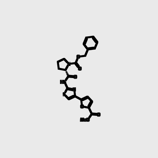 COC(=O)c1ccc(-c2csc(NC(=O)[C@@H]3CCCN3C(=O)OCc3ccccc3)n2)o1